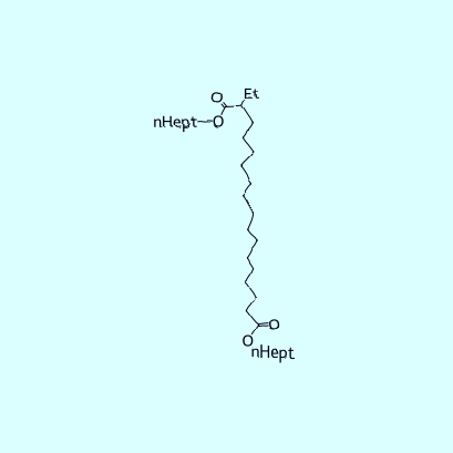 CCCCCCCOC(=O)CCCCCCCCCCCCCCC(CC)C(=O)OCCCCCCC